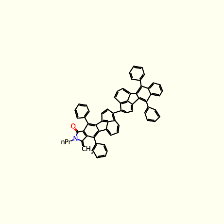 C=c1c2c(-c3ccccc3)c3c4cccc5c(-c6ccc7c8c(cccc68)-c6c-7c(-c7ccccc7)c7ccccc7c6-c6ccccc6)ccc(c3c(-c3ccccc3)c2c(=O)n1CCC)c54